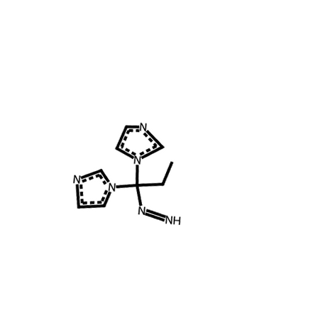 CCC(N=N)(n1ccnc1)n1ccnc1